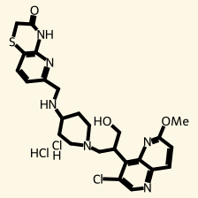 COc1ccc2ncc(Cl)c(C(CO)CN3CCC(NCc4ccc5c(n4)NC(=O)CS5)CC3)c2n1.Cl.Cl